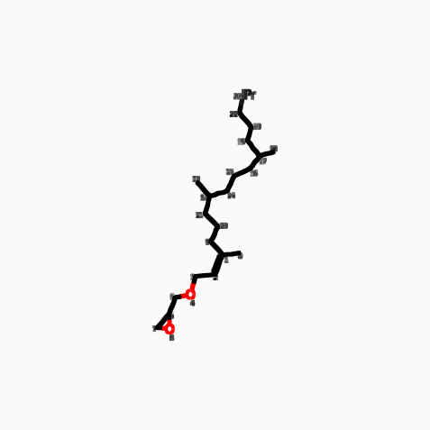 CC(=CCOCC1CO1)CCCC(C)CCCC(C)CCCC(C)C